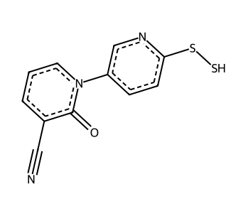 N#Cc1cccn(-c2ccc(SS)nc2)c1=O